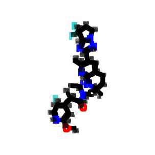 CCN(C[C@@]1(C)CCc2cc(-c3nc4n(n3)CCC4(F)F)c(C)nc2N1)C(=O)[C@H](C)c1cc(OC)ncc1F